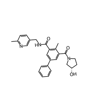 Cc1ccc(CNC(=O)c2cc(-c3ccccc3)cc(C(=O)N3CC[C@H](O)C3)c2C)cn1